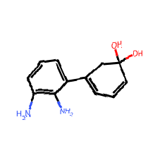 Nc1cccc(C2=CC=CC(O)(O)C2)c1N